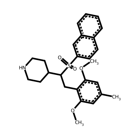 COc1cc(C)cc(OC)c1CC(C1CCNCC1)S(=O)(=O)c1ccc2ccccc2c1